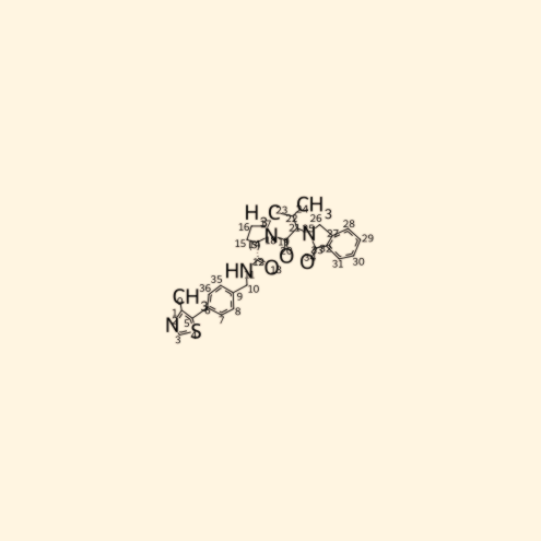 Cc1ncsc1-c1ccc(CNC(=O)[C@@H]2CCCN2C(=O)C(C(C)C)N2Cc3ccccc3C2=O)cc1